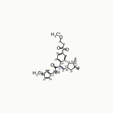 COCCS(=O)(=O)c1ccc(/C(=C\[C@H]2C[C@@H](F)[C@@H](F)C2)C(=O)Nc2ccn(C)n2)cc1